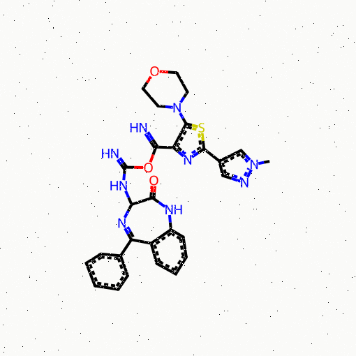 Cn1cc(-c2nc(C(=N)OC(=N)NC3N=C(c4ccccc4)c4ccccc4NC3=O)c(N3CCOCC3)s2)cn1